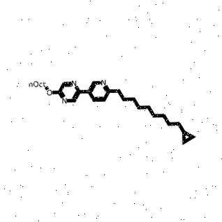 CCCCCCCCOc1cnc(-c2ccc(CCCCCCCCCC3CC3)nc2)cn1